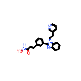 O=C(C=Cc1cccc(-c2nc3ccccc3n2CCc2cccnc2)c1)NO